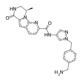 C[C@@H]1CNC(=O)c2cc3ccc(C(=O)Nc4cnn(Cc5ccc(CN)cc5)c4)nc3n21